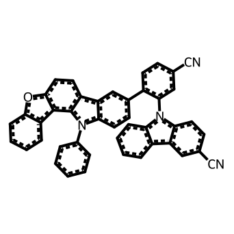 N#Cc1ccc(-c2ccc3c(c2)c2ccc4oc5ccccc5c4c2n3-c2ccccc2)c(-n2c3ccccc3c3cc(C#N)ccc32)c1